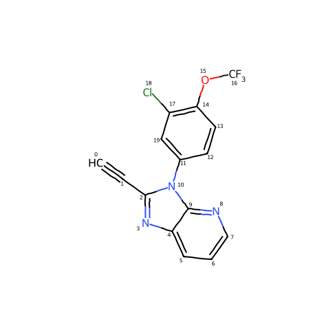 C#Cc1nc2cccnc2n1-c1ccc(OC(F)(F)F)c(Cl)c1